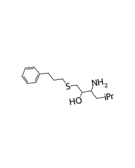 CC(C)CC(N)C(O)CSCCCc1ccccc1